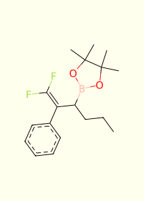 CCCC(B1OC(C)(C)C(C)(C)O1)C(=C(F)F)c1ccccc1